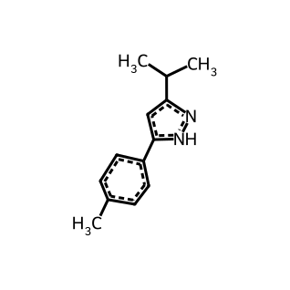 Cc1ccc(-c2cc(C(C)C)n[nH]2)cc1